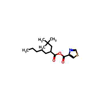 CCCCCC(CC(C)(C)C)C(=O)OC(=O)c1cscn1